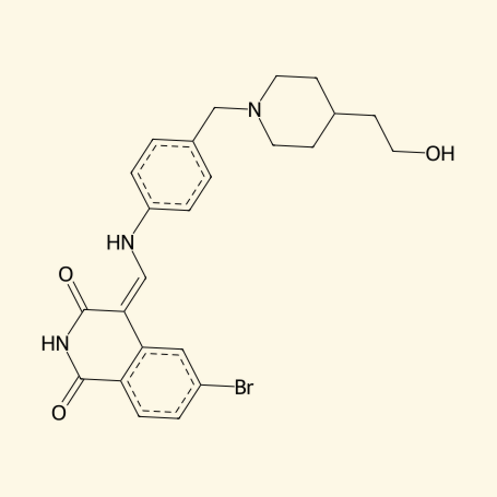 O=C1NC(=O)c2ccc(Br)cc2C1=CNc1ccc(CN2CCC(CCO)CC2)cc1